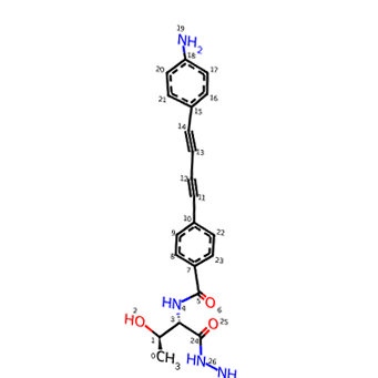 C[C@@H](O)[C@H](NC(=O)c1ccc(C#CC#Cc2ccc(N)cc2)cc1)C(=O)NN